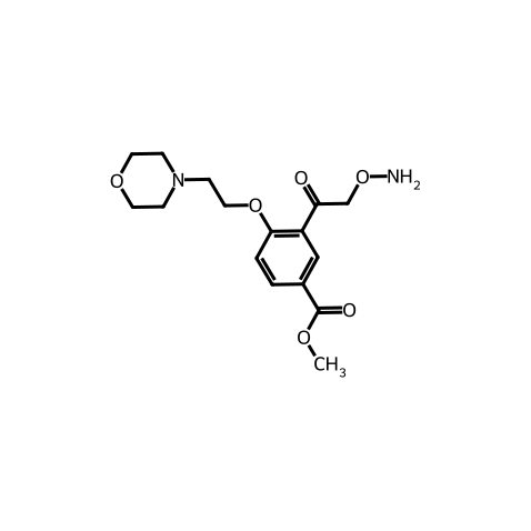 COC(=O)c1ccc(OCCN2CCOCC2)c(C(=O)CON)c1